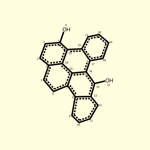 Oc1ccc2ccc3c4ccccc4c(O)c4c5ccccc5c1c2c34